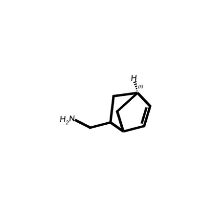 NCC1C[C@H]2C=CC1C2